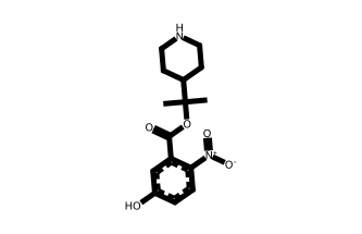 CC(C)(OC(=O)c1cc(O)ccc1[N+](=O)[O-])C1CCNCC1